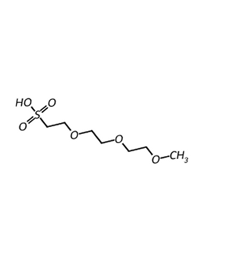 COCCOCCOCCS(=O)(=O)O